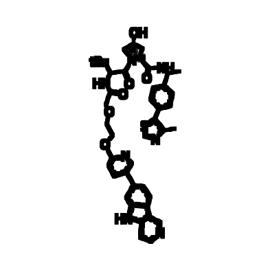 Cc1ncsc1-c1ccc(C(C)NC(=O)[C@@H]2C[C@@H](O)CN2C(=O)C(NC(=O)COCCOc2ccc(-c3ccc4c(c3)[nH]c3ccncc34)cn2)C(C)(C)C)cc1